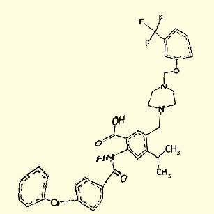 CC(C)c1cc(NC(=O)c2ccc(Oc3ccccc3)cc2)c(C(=O)O)cc1CN1CCN(COc2cccc(C(F)(F)F)c2)CC1